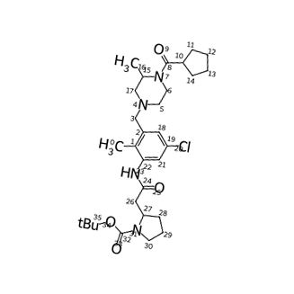 Cc1c(CN2CCN(C(=O)C3CCCC3)C(C)C2)cc(Cl)cc1NC(=O)CC1CCCN1C(=O)OC(C)(C)C